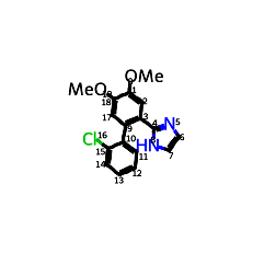 COc1cc(-c2ncc[nH]2)c(-c2ccccc2Cl)cc1OC